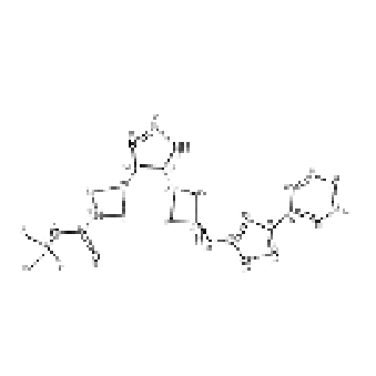 CC(C)(C)OC(=O)N1CC(c2nn[nH]c2[C@H]2C[C@H](Nc3cc(-c4ccccc4)no3)C2)C1